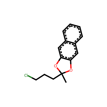 CC1(CCCCl)Oc2cc3ccccc3cc2O1